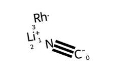 [C-]#N.[Li+].[Rh]